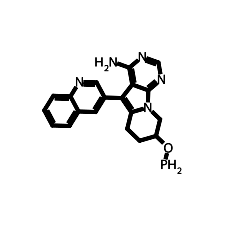 Nc1ncnc2c1c(-c1cnc3ccccc3c1)c1n2CC(OP)CC1